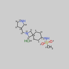 CS(=O)(=O)NC1CCC2(CC1)CN(CC1CCNC1)C2.Cl